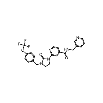 O=C(NCc1cccnc1)c1ccnc(N2CCN(Cc3ccc(OC(F)(F)F)cc3)C2=O)c1